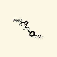 COC(=O)C1CCN1C(=O)OCc1ccc(OC)cc1